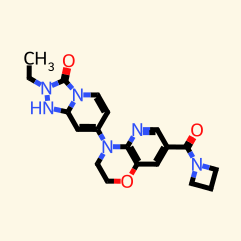 CCN1NC2C=C(N3CCOc4cc(C(=O)N5CCC5)cnc43)C=CN2C1=O